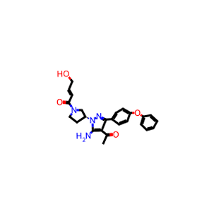 CC(=O)c1c(-c2ccc(Oc3ccccc3)cc2)nn([C@@H]2CCN(C(=O)/C=C/CO)C2)c1N